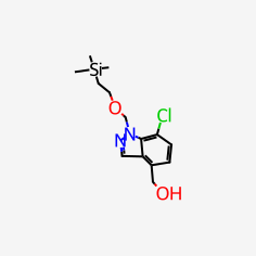 C[Si](C)(C)CCOCn1ncc2c(CO)ccc(Cl)c21